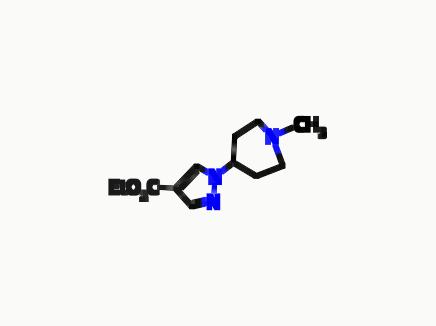 CCOC(=O)c1cnn(C2CCN(C)CC2)c1